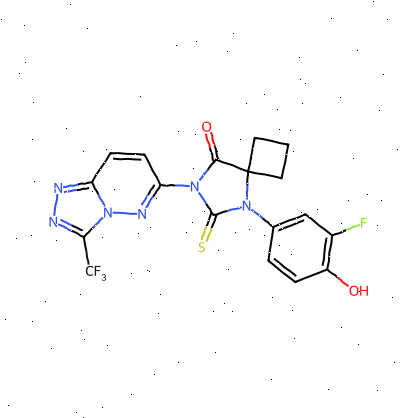 O=C1N(c2ccc3nnc(C(F)(F)F)n3n2)C(=S)N(c2ccc(O)c(F)c2)C12CCC2